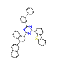 c1ccc(-c2cccc(-c3nc(-c4ccc(-c5ccc6ccccc6c5)c5ccccc45)nc(-c4cccc5c4sc4ccccc45)n3)c2)cc1